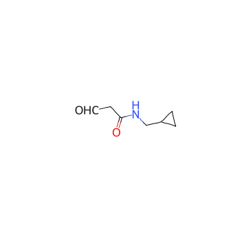 O=CCC(=O)NCC1CC1